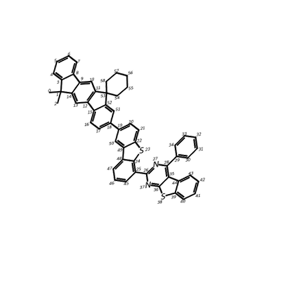 CC1(C)c2ccccc2-c2cc3c(cc21)-c1ccc(-c2ccc4sc5c(-c6nc(-c7ccccc7)c7c(n6)sc6ccccc67)cccc5c4c2)cc1C31CCCCC1